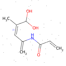 C=CC(=O)NC(=C)/C=C(/C)C(O)O